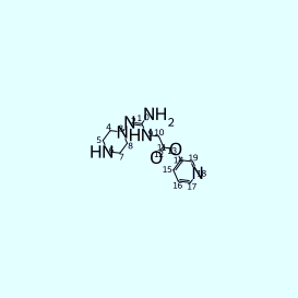 NC(=NN1CCNCC1)NCC(=O)Oc1cccnc1